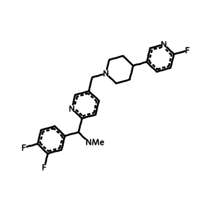 CNC(c1ccc(F)c(F)c1)c1ccc(CN2CCC(c3ccc(F)nc3)CC2)cn1